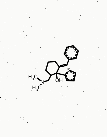 CN(C)CC1CCCC(=Cc2ccccc2)C1(O)c1cccs1